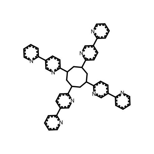 c1ccc(-c2ccc(C3CC(c4ccc(-c5ccccn5)cn4)CC(c4ccc(-c5ccccn5)cn4)CC(c4ccc(-c5ccccn5)cn4)C3)nc2)nc1